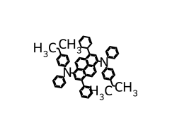 CC(C)c1ccc(N(c2ccccc2)c2cc(-c3ccccc3)c3ccc4c(N(c5ccccc5)c5ccc(C(C)C)cc5)cc(C5C=CC=CC5)c5ccc2c3c54)cc1